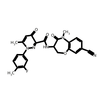 Cc1ccc(-n2nc(C(=O)NC3COc4cc(C#N)ccc4N(C)C3=O)c(=O)cc2C)cc1F